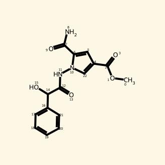 COC(=O)c1cc(C(N)=O)n(NC(=O)C(O)c2ccccc2)c1